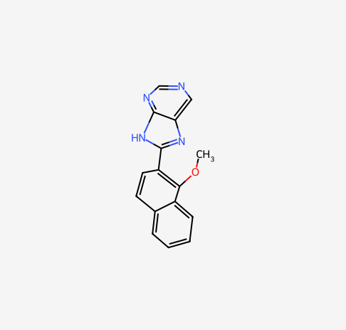 COc1c(-c2nc3cncnc3[nH]2)ccc2ccccc12